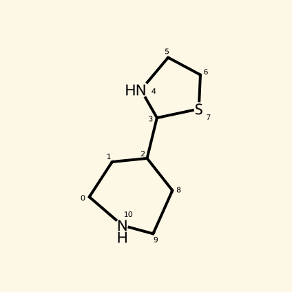 C1CC([C]2NCCS2)CCN1